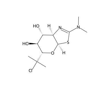 CN(C)C1=N[C@@H]2[C@@H](O)[C@H](O)[C@@H](C(C)(C)Cl)O[C@@H]2S1